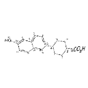 O=C(O)C1CCC(c2ccc3cc(O)ccc3n2)CC1